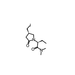 CC[C@@H](C(=O)N(C)C)N1C[C@H](CI)CC1=O